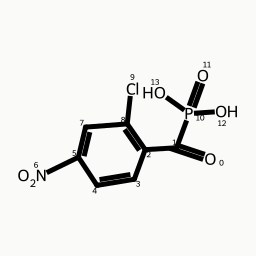 O=C(c1ccc([N+](=O)[O-])cc1Cl)P(=O)(O)O